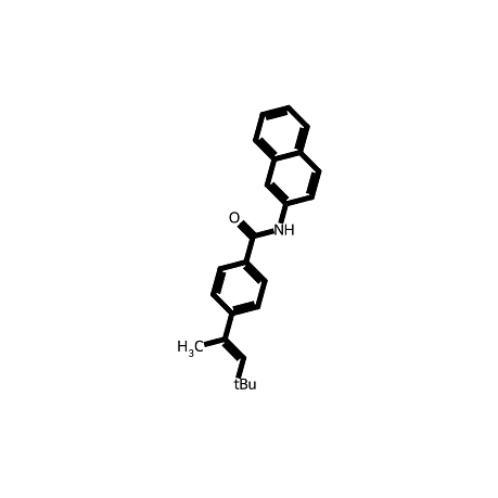 CC(=CC(C)(C)C)c1ccc(C(=O)Nc2ccc3ccccc3c2)cc1